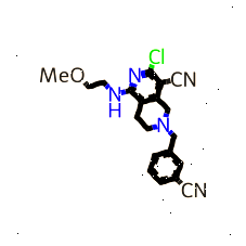 COCCNc1nc(Cl)c(C#N)c2c1CCN(Cc1cccc(C#N)c1)C2